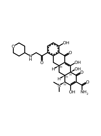 CN(C)[C@@H]1C(O)=C(C(N)=O)C(=O)[C@@]2(O)C(O)=C3C(=O)c4c(O)ccc(C(=O)CNC5CCOCC5)c4C[C@H]3C[C@@H]12